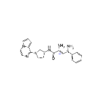 N/C(=C\N(N)c1ccccc1)C(=O)NC1CCN(c2nccn3cccc23)C1